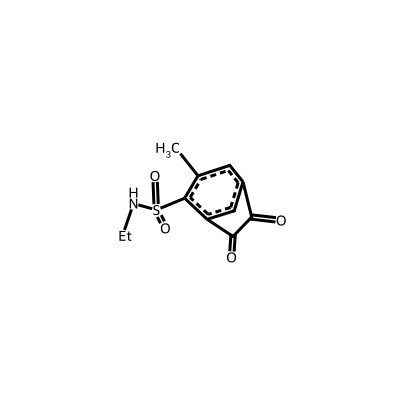 CCNS(=O)(=O)c1c(C)cc2cc1C(=O)C2=O